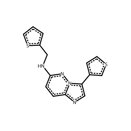 c1csc(CNc2ccc3ncc(-c4ccsc4)n3n2)c1